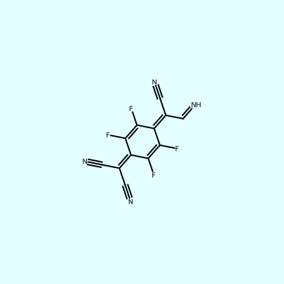 N#CC(C#N)=c1c(F)c(F)c(=C(C#N)C=N)c(F)c1F